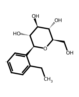 CCc1cc[c]cc1[C@@H]1O[C@H](CO)[C@@H](O)[C@H](O)[C@H]1O